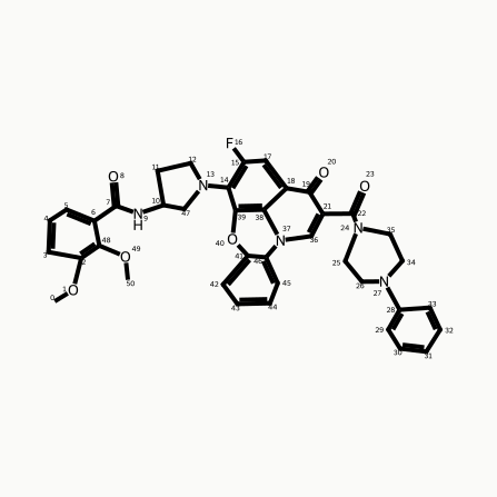 COc1cccc(C(=O)NC2CCN(c3c(F)cc4c(=O)c(C(=O)N5CCN(c6ccccc6)CC5)cn5c4c3Oc3ccccc3-5)C2)c1OC